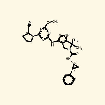 COc1nc(Nc2n[nH]c3c2CN(C(=O)N[C@@H]2C[C@H]2c2ccccc2)C3(C)C)nc(N2CCC[C@H]2C#N)n1